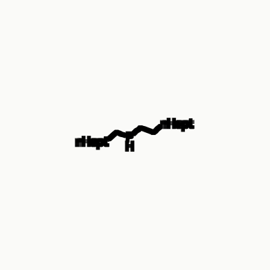 CCCCCCCCCPCCCCCCCC